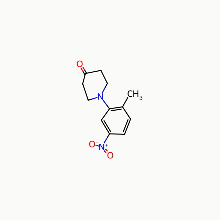 Cc1ccc([N+](=O)[O-])cc1N1CCC(=O)CC1